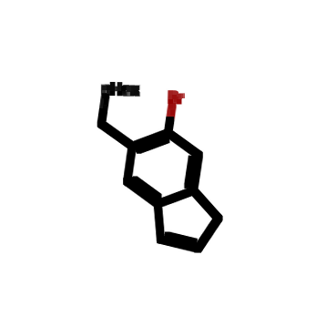 CCCCCCCc1cc2c(cc1Br)CC=C2